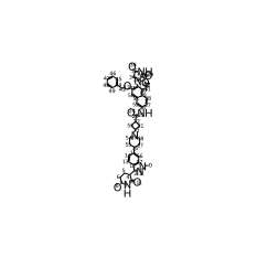 Cn1nc(C2CCC(=O)NC2=O)c2ccc(C3CCN(C4CC(C(=O)Nc5ccc6c(F)c(N7CC(=O)NS7(=O)=O)c(OCc7ccccc7)cc6c5)C4)CC3)cc21